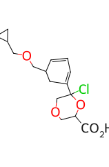 O=C(O)C1COCC(Cl)(C2=CC=CC(COCC3CC3)C2)O1